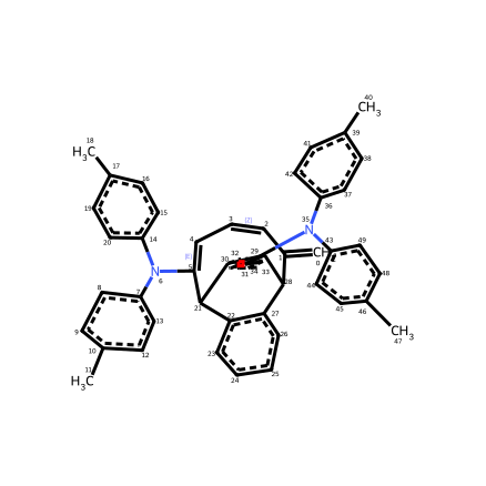 C=C1/C=C\C=C(\N(c2ccc(C)cc2)c2ccc(C)cc2)C2c3ccccc3C1c1c2cccc1N(c1ccc(C)cc1)c1ccc(C)cc1